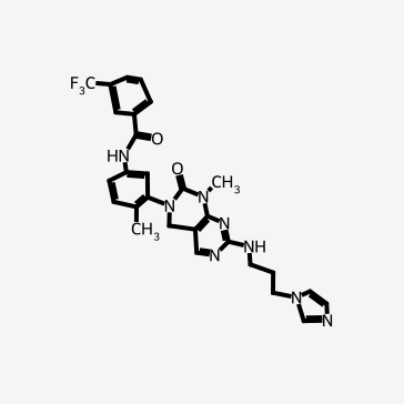 Cc1ccc(NC(=O)c2cccc(C(F)(F)F)c2)cc1N1Cc2cnc(NCCCn3ccnc3)nc2N(C)C1=O